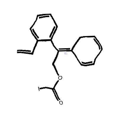 C=Cc1ccccc1/C(COC(=O)I)=C1/C=CC=CC1